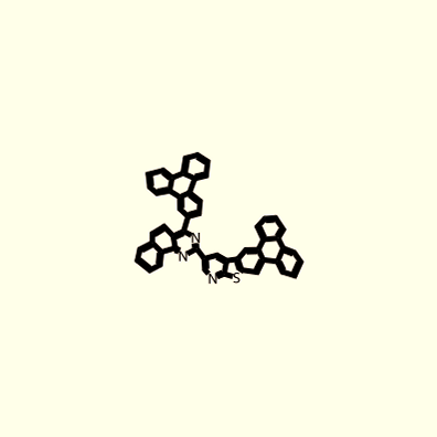 c1ccc2c(c1)ccc1c(-c3ccc4c5ccccc5c5ccccc5c4c3)nc(-c3cnc4sc5cc6c7ccccc7c7ccccc7c6cc5c4c3)nc12